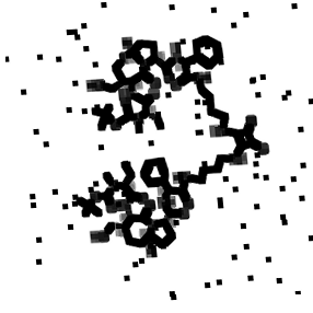 CC[C@@H](C(=O)N[C@@H]1C(=O)N2[C@@H](CC[C@@H]1CO)CC[C@H]2C(=O)N[C@H](C(=O)NCCCCNc1c(NCCCCNC(=O)[C@@H](NC(=O)[C@@H]2CC[C@@H]3CC[C@H](CO)[C@H](NC(=O)[C@H](CC)N(C)C(=O)OC(C)(C)C)C(=O)N32)c2ccccc2)c(=O)c1=O)c1ccccc1)N(C)C(=O)OC(C)(C)C